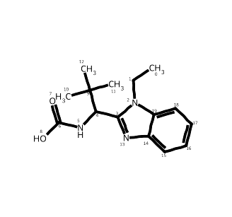 CCn1c(C(NC(=O)O)C(C)(C)C)nc2ccccc21